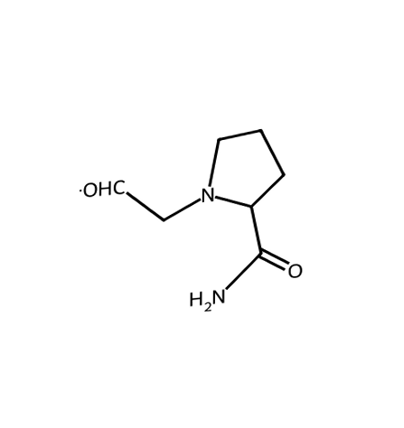 NC(=O)C1CCCN1C[C]=O